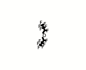 FC(COCC(F)C(F)(F)C(F)(F)F)C(F)(F)C(F)(F)F